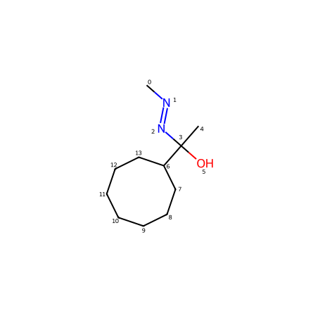 C/N=N/C(C)(O)C1CCCCCCC1